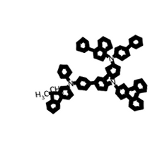 CC1(C)c2ccccc2-c2ccc(N(c3ccccc3)c3ccc(-c4ccc5c(c4)c4cc(N(c6ccc(-c7ccccc7)cc6)c6ccc(-c7ccccc7)c7ccccc67)ccc4n5-c4ccc5c6ccccc6c6ccccc6c5c4)cc3)cc21